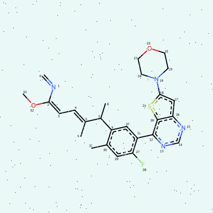 C=N/C(=C\C=C(/C)C(C)c1cc(-c2ncnc3cc(N4CCOCC4)sc23)c(F)cc1C)OC